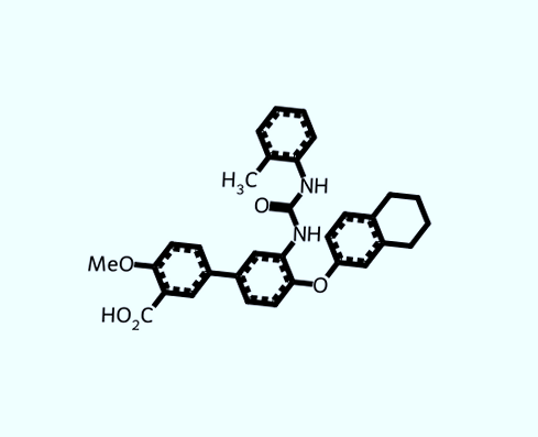 COc1ccc(-c2ccc(Oc3ccc4c(c3)CCCC4)c(NC(=O)Nc3ccccc3C)c2)cc1C(=O)O